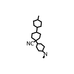 C=NC1CCC(C2(C#N)CCC(C3CCC(C)CC3)CC2)CC1